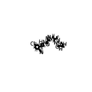 Cc1nc(N2C[C@H]3C[C@H]3C2=O)ncc1C(C)n1cc(C(=O)N[C@H]2C[C@@](C)(c3cc(Cl)ccc3C#N)C2)nn1